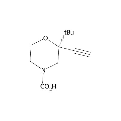 C#C[C@@]1(C(C)(C)C)CN(C(=O)O)CCO1